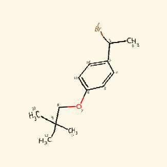 CC(Br)c1ccc(OCC(C)(C)C)cc1